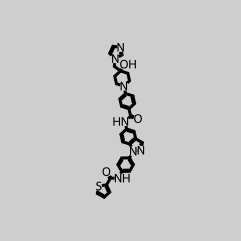 O=C(Nc1ccc2c(cnn2-c2ccc(NC(=O)c3cccs3)cc2)c1)c1ccc(N2CCC(O)(Cn3ccnc3)CC2)cc1